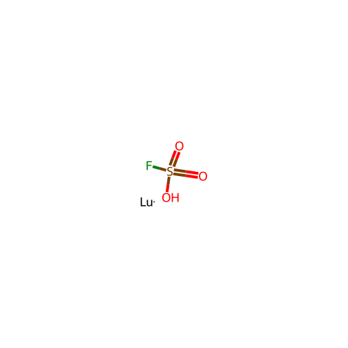 O=S(=O)(O)F.[Lu]